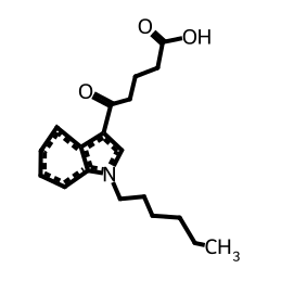 CCCCCCn1cc(C(=O)CCCC(=O)O)c2ccccc21